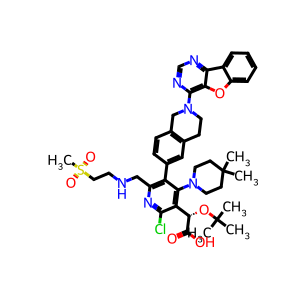 CC1(C)CCN(c2c(-c3ccc4c(c3)CCN(c3ncnc5c3oc3ccccc35)C4)c(CNCCS(C)(=O)=O)nc(Cl)c2[C@H](OC(C)(C)C)C(=O)O)CC1